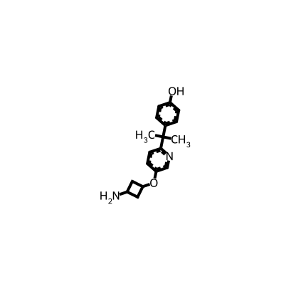 CC(C)(c1ccc(O)cc1)c1ccc(OC2CC(N)C2)cn1